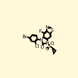 O=c1n(-c2ccc(Br)cc2Cl)c2c(F)c3ncsc3cc2n1S(=O)(=O)C1CC1